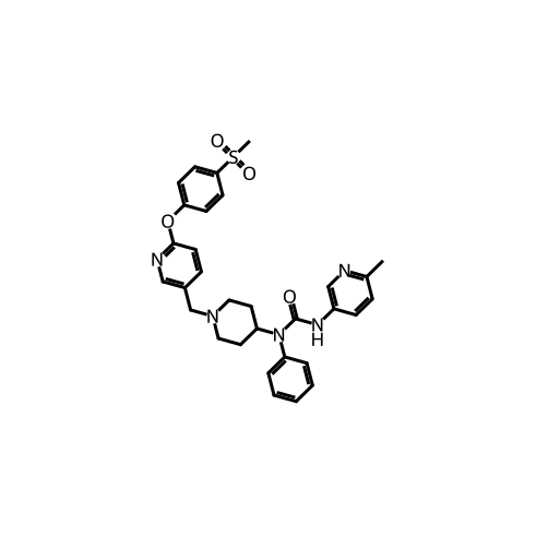 Cc1ccc(NC(=O)N(c2ccccc2)C2CCN(Cc3ccc(Oc4ccc(S(C)(=O)=O)cc4)nc3)CC2)cn1